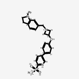 CC(C)N1CCc2ccc(CN3CC(Oc4ccc(-c5ccc(S(C)(=O)=O)nc5)cc4)C3)cc21